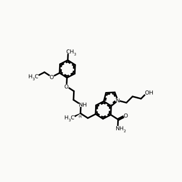 CCOc1cc(C)ccc1OCCN[C@H](C)Cc1cc(C(N)=O)c2c(ccn2CCCO)c1